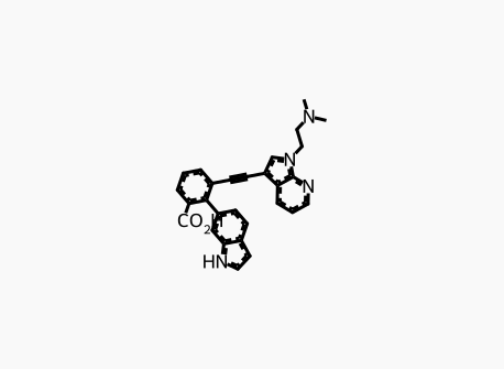 CN(C)CCn1cc(C#Cc2cccc(C(=O)O)c2-c2ccc3cc[nH]c3c2)c2cccnc21